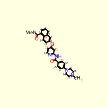 CNC(=O)c1cccc2cc(Oc3ccnc(NC(=O)c4ccc(N5CCN(C)CC5)cc4)c3)ccc12